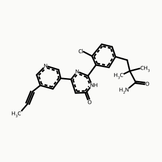 CC#Cc1cncc(-c2cc(=O)[nH]c(-c3cc(CC(C)(C)C(N)=O)ccc3Cl)n2)c1